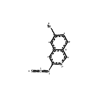 S=C=Nc1cc2cc(Br)ccc2cn1